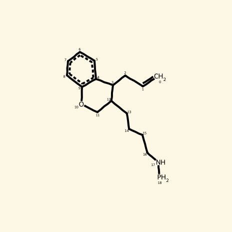 C=CCC1c2ccccc2OCC1CCCCNP